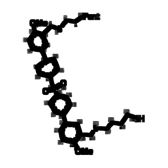 CCCC(C)CCSCc1cc(-c2ccc(S(=O)(=O)c3ccc(-c4ccc(OC)c(CSCCCCS)c4)cc3)cc2)ccc1OC